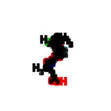 CN(CCCCCC(=O)O)/[N+]([O-])=N/OCOC(=O)C1=Cc2cc(Cl)c(C(C)(C)C)cc2O[C@@H]1C(F)(F)F